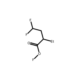 CCC(CC(F)F)C(=O)OF